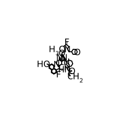 C#Cc1c(F)ccc2cc(O)cc(N3CCc4c(nc(OC[C@]5(C)C[C@@H](F)CN5CC5CCOCC5)nc4N4CCCCC(NC(=O)C=C)C4)C3)c12